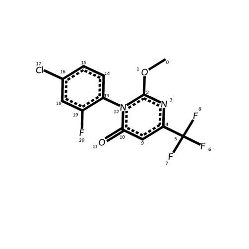 COc1nc(C(F)(F)F)cc(=O)n1-c1c[c]c(Cl)cc1F